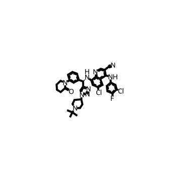 CC(C)(C)N1CCC(n2cc([C@@H](Nc3cc(Cl)cc4c(Nc5ccc(F)c(Cl)c5)c(C#N)cnc34)c3cccc(N4CCCCC4=O)c3)nn2)CC1